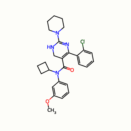 COc1cccc(N(C(=O)C2=C(c3ccccc3Cl)N=C(N3CCCCC3)NC2)C2CCC2)c1